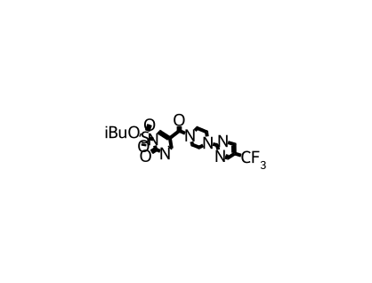 CC(C)COS(=O)(=O)n1cc(C(=O)N2CCN(c3ncc(C(F)(F)F)cn3)CC2)cnc1=O